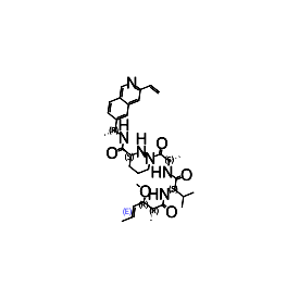 C=Cc1cc2cc([C@@H](C)NC(=O)[C@@H]3CCCN(C(=O)[C@H](C)NC(=O)[C@@H](NC(=O)[C@H](C)[C@@H](/C=C/C)OC)C(C)C)N3)ccc2cn1